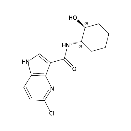 O=C(N[C@H]1CCCC[C@@H]1O)c1c[nH]c2ccc(Cl)nc12